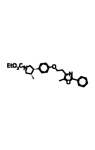 CCOC(=O)N1C[C@@H](C)[C@@H](c2ccc(OCCc3nc(-c4ccccc4)oc3C)cc2)C1